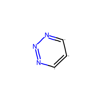 [c]1[c]nnn[c]1